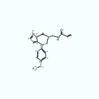 C=CC(=O)NCC1CN(c2ccc(SC(F)(F)F)cc2)c2ccnn2C1